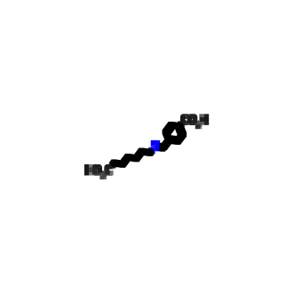 O=C(O)CCCCCC/N=C/c1ccc(C(=O)O)cc1